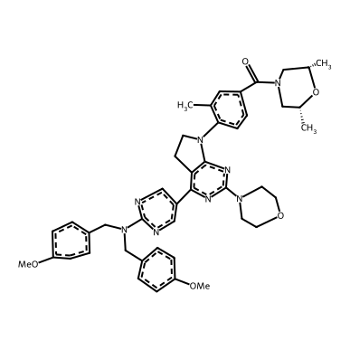 COc1ccc(CN(Cc2ccc(OC)cc2)c2ncc(-c3nc(N4CCOCC4)nc4c3CCN4c3ccc(C(=O)N4C[C@@H](C)O[C@@H](C)C4)cc3C)cn2)cc1